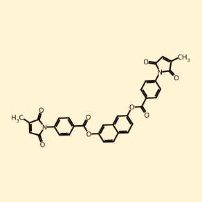 CC1=CC(=O)N(c2ccc(C(=O)Oc3ccc4ccc(OC(=O)c5ccc(N6C(=O)C=C(C)C6=O)cc5)cc4c3)cc2)C1=O